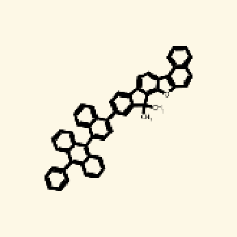 CC1(C)c2cc(-c3ccc(-c4c5ccccc5c(-c5ccccc5)c5ccccc45)c4ccccc34)ccc2-c2ccc3c(oc4ccc5ccccc5c43)c21